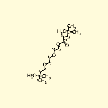 CC(C)(C)CCOCCOCCOC(=O)CCC(C)(C)C